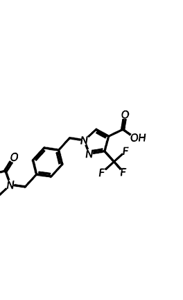 O=C(O)c1cn(Cc2ccc(CN3C[C@H]4C[C@H]4C3=O)cc2)nc1C(F)(F)F